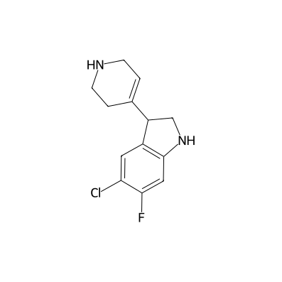 Fc1cc2c(cc1Cl)C(C1=CCNCC1)CN2